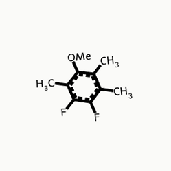 COc1c(C)c(C)c(F)c(F)c1C